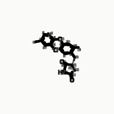 Cc1cnc(Oc2ccc(C[C@@H]3SC(=O)NC3=O)c(C)c2)c(Cl)c1